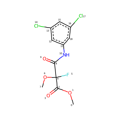 COC(=O)C(F)(OC)C(=O)Nc1cc(Cl)cc(Cl)c1